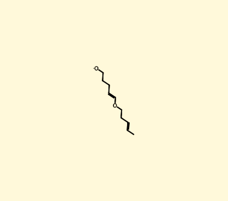 CC=CCCOC=CCCC[O]